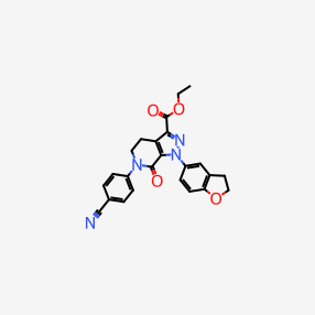 CCOC(=O)c1nn(-c2ccc3c(c2)CCO3)c2c1CCN(c1ccc(C#N)cc1)C2=O